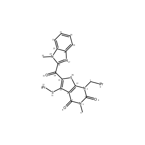 CC(C)Cn1c(=O)n(C)c(=O)c2c(SC(C)C)c(C(=O)c3nc4ccccc4n3C)sc21